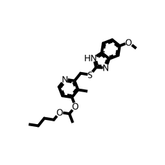 CCCCOC(C)Oc1ccnc(CSc2nc3cc(OC)ccc3[nH]2)c1C